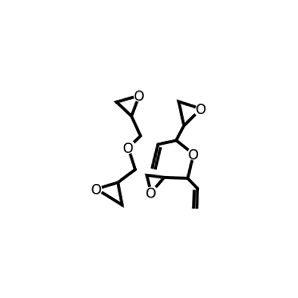 C(OCC1CO1)C1CO1.C=CC(OC(C=C)C1CO1)C1CO1